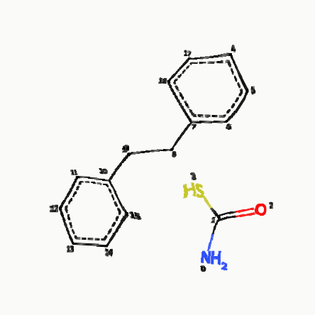 NC(=O)S.c1ccc(CCc2ccccc2)cc1